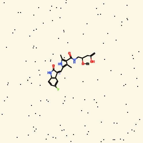 C=C(O)CC(CNC(=O)c1c(C)[nH]c(/C=C2\C(=O)Nc3ccc(F)cc32)c1C)OCC